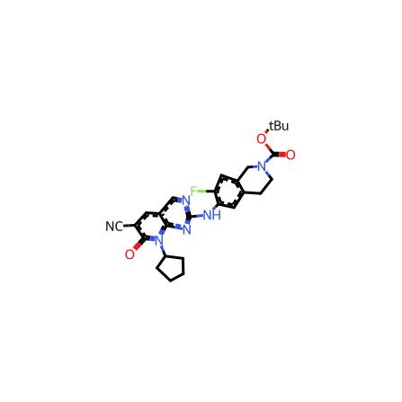 CC(C)(C)OC(=O)N1CCc2cc(Nc3ncc4cc(C#N)c(=O)n(C5CCCC5)c4n3)c(F)cc2C1